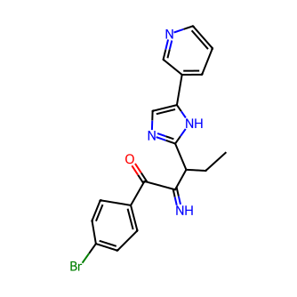 CCC(C(=N)C(=O)c1ccc(Br)cc1)c1ncc(-c2cccnc2)[nH]1